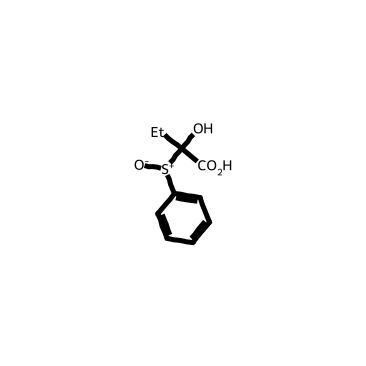 CCC(O)(C(=O)O)[S+]([O-])c1ccccc1